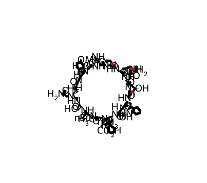 CCCC[C@H]1C(=O)N(C)[C@@H](CCCC)C(=O)N[C@@H](CO)C(=O)N[C@H](CNCC(N)=O)CSCC(=O)N[C@H]2Cc3ccc(OC)cc3N(C2=O)[C@@H](C)C(=O)N[C@@H](CC(N)=O)C(=O)N2CCC[C@H]2C(=O)N[C@@H](Cc2c[nH]cn2)C(=O)N[C@@H](CCC(N)=O)C(=O)N2C[C@H](O)C[C@H]2C(=O)N[C@@H](Cc2c[nH]c3ccccc23)C(=O)N[C@@H](CO)C(=O)N[C@@H](Cc2cn(CC(=O)O)c3ccccc23)C(=O)N1C